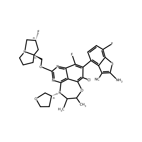 CC1Oc2c(Cl)c(-c3ccc(F)c4sc(N)c(C#N)c34)c(F)c3nc(OC[C@@]45CCCN4C[C@H](F)C5)nc(c23)N([C@@H]2CCOC2)C1C